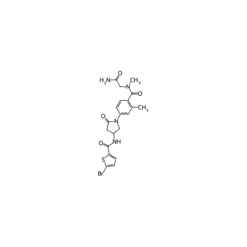 Cc1cc(N2CC(NC(=O)c3ccc(Br)s3)CC2=O)ccc1C(=O)N(C)CC(N)=O